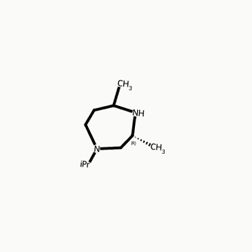 CC1CCN(C(C)C)C[C@@H](C)N1